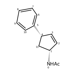 CC(=O)N[C@H]1C=C[C@@H](c2ccccc2)C1